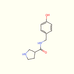 O=C(NCc1ccc(O)cc1)C1CCNC1